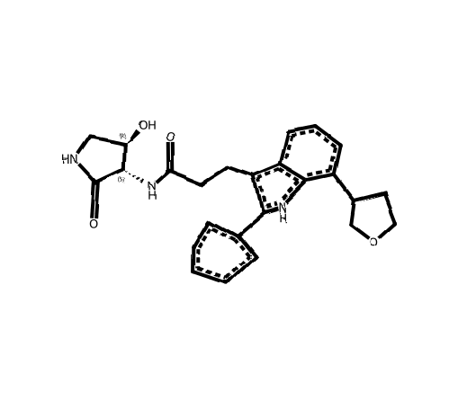 O=C(CCc1c(-c2ccccc2)[nH]c2c(C3CCOC3)cccc12)N[C@@H]1C(=O)NC[C@H]1O